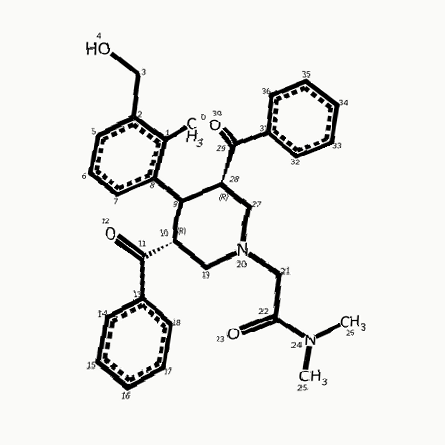 Cc1c(CO)cccc1C1[C@@H](C(=O)c2ccccc2)CN(CC(=O)N(C)C)C[C@@H]1C(=O)c1ccccc1